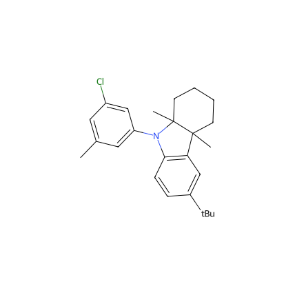 Cc1cc(Cl)cc(N2c3ccc(C(C)(C)C)cc3C3(C)CCCCC23C)c1